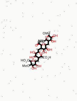 CNC(=O)C1OC(CC2C(C=O)OC(OC)C(O)C2O)C(O)C(O)C1CC1OC(C(=O)O)C(CC2OC(C(=O)O)C(OC)C(O)C2O)C(O)C1O